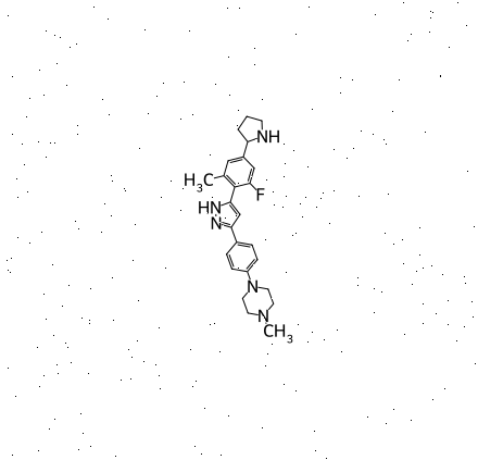 Cc1cc(C2CCCN2)cc(F)c1-c1cc(-c2ccc(N3CCN(C)CC3)cc2)n[nH]1